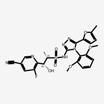 COc1cccc(OC)c1-n1c(NS(=O)(=O)[C@@H](C)[C@H](O)c2ncc(C#N)cc2F)nnc1-c1ccc(C)o1